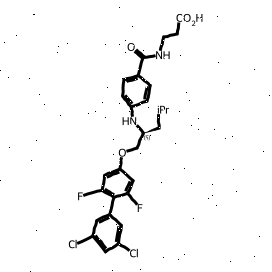 CC(C)C[C@@H](COc1cc(F)c(-c2cc(Cl)cc(Cl)c2)c(F)c1)Nc1ccc(C(=O)NCCC(=O)O)cc1